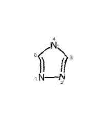 C1=NN=C[N]1